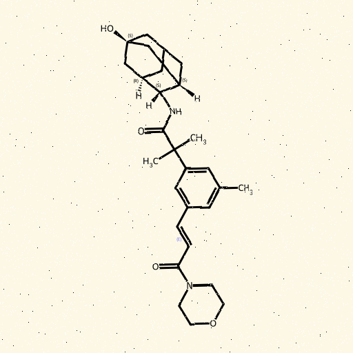 Cc1cc(/C=C/C(=O)N2CCOCC2)cc(C(C)(C)C(=O)N[C@@H]2[C@@H]3CC4C[C@H]2C[C@@](O)(C4)C3)c1